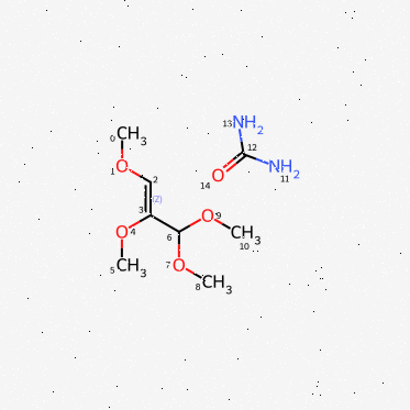 CO/C=C(\OC)C(OC)OC.NC(N)=O